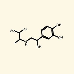 CC(=O)C(C(C)=O)C(C)NCC(O)c1ccc(O)c(O)c1